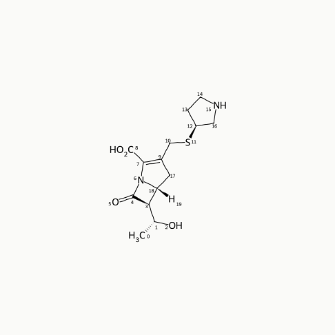 C[C@@H](O)[C@H]1C(=O)N2C(C(=O)O)=C(CS[C@H]3CCNC3)C[C@H]12